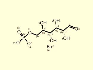 O=C[C@H](O)[C@@H](O)[C@H](O)[C@H](O)COP(=O)([O-])[O-].[Ba+2]